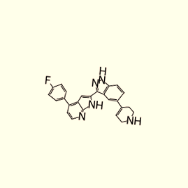 Fc1ccc(-c2ccnc3[nH]c(-c4n[nH]c5ccc(C6=CCNCC6)cc45)cc23)cc1